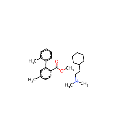 CN(C)CCC1CCCCC1.COC(=O)c1ccc(C)cc1-c1ccccc1C